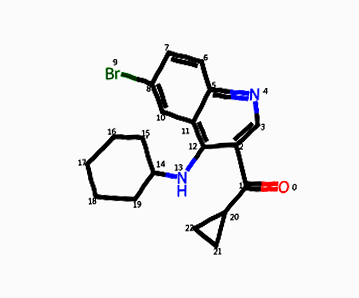 O=C(c1cnc2ccc(Br)cc2c1NC1[CH]CCCC1)C1CC1